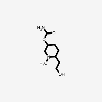 CN1CC(OC(N)=O)CCC1CCO